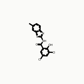 Cc1ccc2nc(NC(=O)c3cc(Cl)cc(Cl)c3O)sc2c1